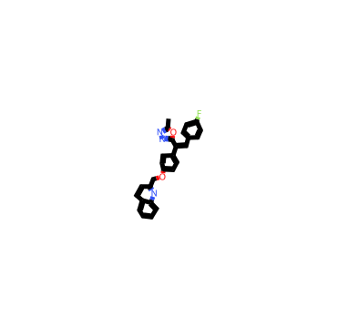 Cc1nnc(C(=Cc2ccc(F)cc2)c2ccc(OCc3ccc4ccccc4n3)cc2)o1